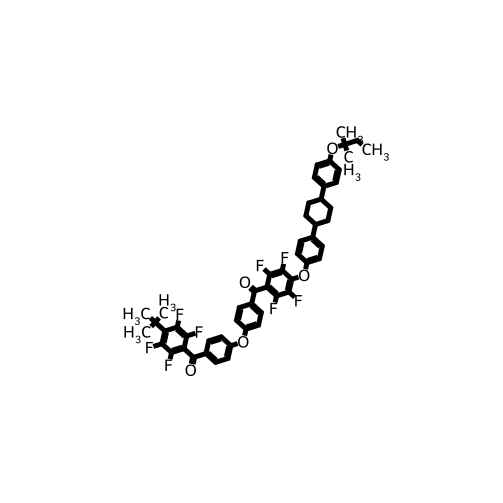 CCC(C)(C)Oc1ccc(C2CCC(c3ccc(Oc4c(F)c(F)c(C(=O)c5ccc(Oc6ccc(C(=O)c7c(F)c(F)c(C(C)(C)C)c(F)c7F)cc6)cc5)c(F)c4F)cc3)CC2)cc1